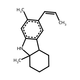 C/C=C\c1cc2c(cc1C)NC1(C)CCCCC21